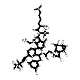 CN(C)CCCCC(N)C(=O)N(c1nn(CC(F)(F)F)c2c(-c3ccc(C#CC(C)(C)S(C)(=O)=O)nc3C(Cc3cc(F)cc(F)c3)NC(=O)Cn3nc(C(F)(F)F)c4c3C(F)(F)[C@@H]3C[C@H]43)ccc(Cl)c12)S(C)(=O)=O